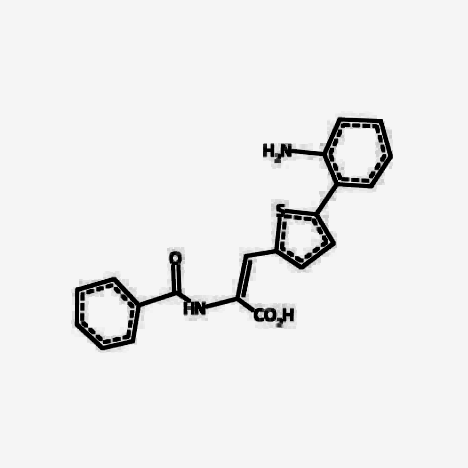 Nc1ccccc1-c1ccc(/C=C(/NC(=O)c2ccccc2)C(=O)O)s1